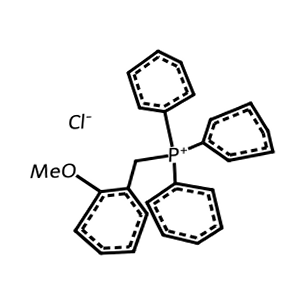 COc1ccccc1C[P+](c1ccccc1)(c1ccccc1)c1ccccc1.[Cl-]